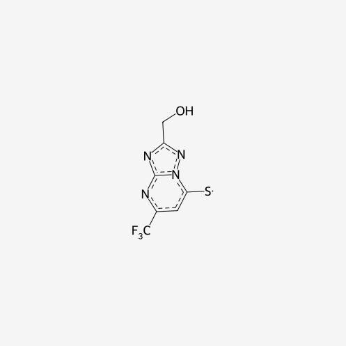 OCc1nc2nc(C(F)(F)F)cc([S])n2n1